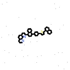 c1ccc2c(-c3ccc(-c4ccc(-c5ccc(-c6ccc7ccc8cccnc8c7n6)c6ccccc56)cc4)s3)cccc2c1